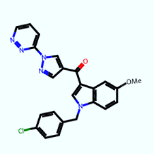 COc1ccc2c(c1)c(C(=O)c1cnn(-c3cccnn3)c1)cn2Cc1ccc(Cl)cc1